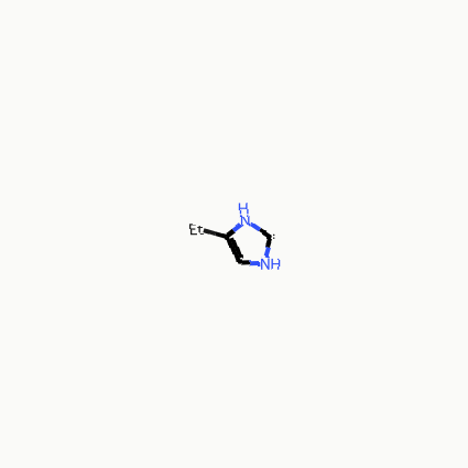 CCC1=CN[C]N1